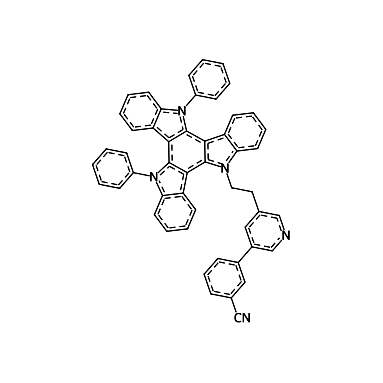 N#Cc1cccc(-c2cncc(CCn3c4ccccc4c4c3c3c5ccccc5n(-c5ccccc5)c3c3c5ccccc5n(-c5ccccc5)c43)c2)c1